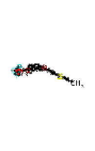 CCCCCCCSSCCCCCCCCOc1ccc2c(c1)CCC1C2CCC2(C)C(OCCCOC(C(F)(F)F)(C(F)(F)F)C(F)(F)F)CCC12